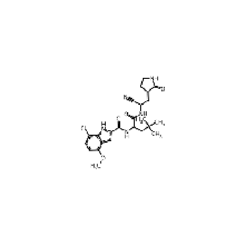 COc1ccc(Cl)c2[nH]c(C(=O)NC(CC(C)(C)C)C(=O)NC(C#N)CC3CCNC3=O)cc12